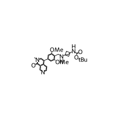 COc1cc(-c2cn(C)c(=O)c3cnccc23)cc(OC)c1CNC12CC(NC(=O)OC(C)(C)C)(C1)C2